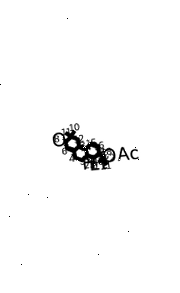 CC[C@H]1[C@@H]2CCC3=CC(=O)C(C)(C)CC3=C2C=C[C@]1(C)C(C)(C)OC(C)=O